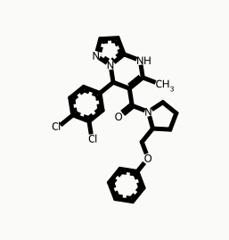 CC1=C(C(=O)N2CCCC2COc2ccccc2)C(c2ccc(Cl)c(Cl)c2)n2nccc2N1